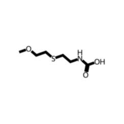 COCCSCCNC(=O)O